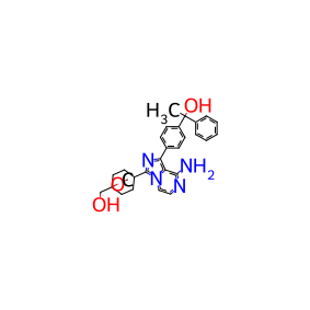 CC(O)(c1ccccc1)c1ccc(-c2nc(C34CCC(CO)(CC3)OC4)n3ccnc(N)c23)cc1